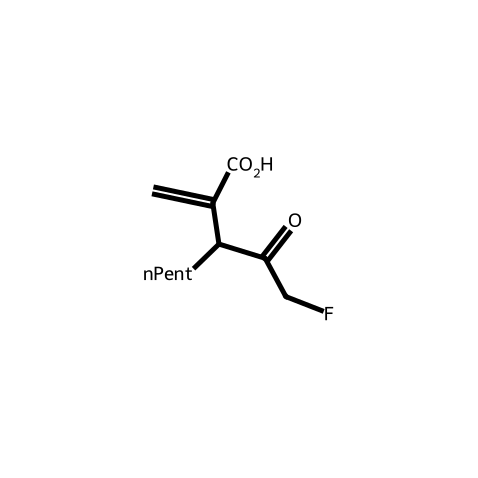 C=C(C(=O)O)C(CCCCC)C(=O)CF